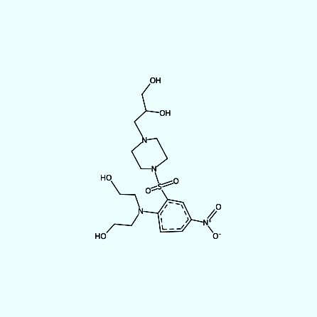 O=[N+]([O-])c1ccc(N(CCO)CCO)c(S(=O)(=O)N2CCN(CC(O)CO)CC2)c1